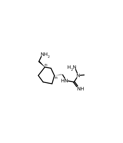 CN(N)C(=N)NC[C@@H]1CCC[C@@H](CN)C1